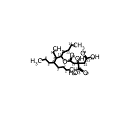 CCCCC(CCC)C(CC)C(CCCC)OC(=O)CC(O)(CC(=O)O)C(=O)O